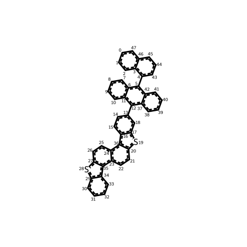 c1ccc2c(-c3c4ccccc4c(-c4ccc5c(c4)sc4ccc6c(ccc7sc8ccccc8c76)c45)c4ccccc34)cccc2c1